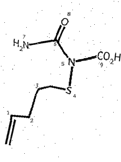 C=CCCSN(C(N)=O)C(=O)O